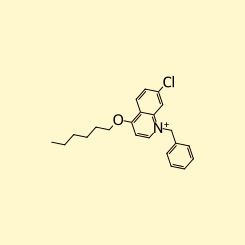 CCCCCCOc1cc[n+](Cc2ccccc2)c2cc(Cl)ccc12